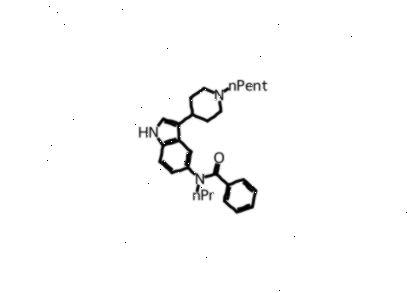 CCCCCN1CCC(c2c[nH]c3ccc(N(CCC)C(=O)c4ccccc4)cc23)CC1